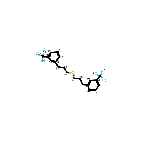 FC(F)(F)c1cccc(CCCSCCCc2cccc(C(F)(F)F)c2)c1